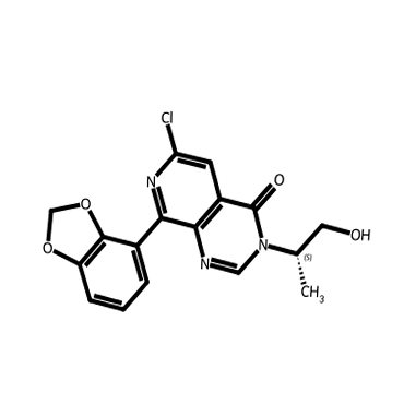 C[C@@H](CO)n1cnc2c(-c3cccc4c3OCO4)nc(Cl)cc2c1=O